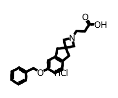 Cl.O=C(O)CCN1CC2(Cc3ccc(OCc4ccccc4)cc3C2)C1